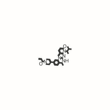 C=CC(=O)N1CC=C(c2ccc(C(C)Nc3ncc4ccc(=O)n(C(C)C(C)C)c4n3)cc2)CC1